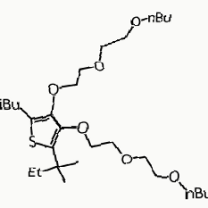 CCCCOCCOCCOc1c(C(C)CC)sc(C(C)(C)CC)c1OCCOCCOCCCC